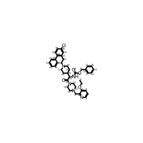 CCOc1cccnc1CN1CCN(C(=O)[C@H](NC(=O)OCc2ccccc2)C2CCN(CCc3cc(Cl)ccc3-c3ccccc3)CC2)CC1